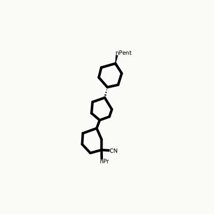 CCCCC[C@H]1CC[C@H](C2CCC(C3CCCC(C#N)(CCC)C3)CC2)CC1